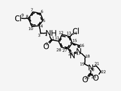 O=C(NCc1cccc(Cl)c1)c1cc(Cl)c2cn(CCN3CCOC3=O)nc2c1